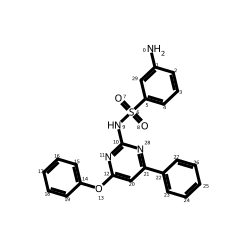 Nc1cccc(S(=O)(=O)Nc2nc(Oc3ccccc3)cc(-c3ccccc3)n2)c1